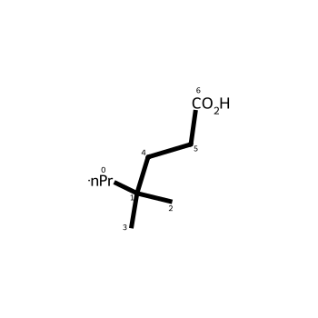 CC[CH]C(C)(C)CCC(=O)O